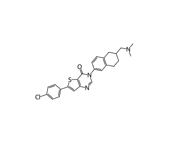 CN(C)CC1CCc2cc(-n3cnc4cc(-c5ccc(Cl)cc5)sc4c3=O)ccc2C1